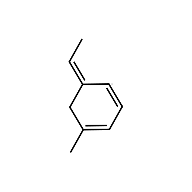 CC=C1[C]=CC=C(C)C1